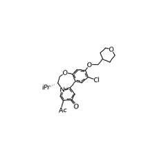 CC(=O)c1cn2c(cc1=O)-c1cc(Cl)c(OCC3CCOCC3)cc1OC[C@H]2C(C)C